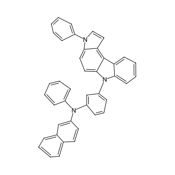 c1ccc(N(c2cccc(-n3c4ccccc4c4c5ccn(-c6ccccc6)c5ccc43)c2)c2ccc3ccccc3c2)cc1